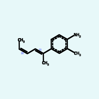 C/C=C\C=C(/C)c1ccc(N)c(C)c1